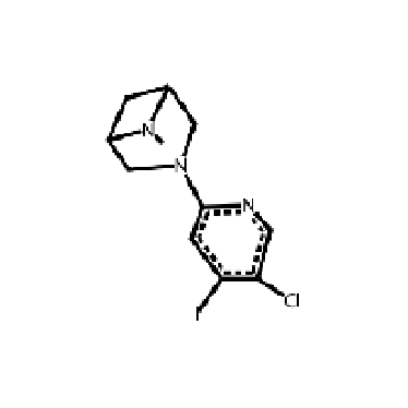 CN1C2CC1CN(c1cc(I)c(Cl)cn1)C2